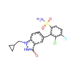 NS(=O)(=O)c1ccc(F)c(Cl)c1-c1ccc2c(c1)c(=O)[nH]n2CC1CC1